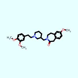 COc1ccc2c(c1)CCN(CC1CCCN(CCc3ccc(OC)c(OC)c3)C1)C(=O)C2